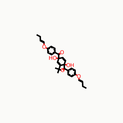 CCC=COc1ccc(C(=O)C2(O)C=CC(O)(C(=O)c3ccc(OC=CCC)cc3)C(C(C)(C)C)=C2)cc1